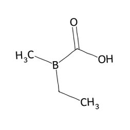 CCB(C)C(=O)O